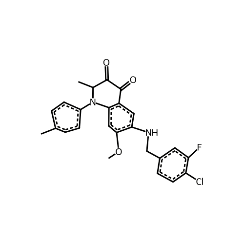 COc1cc2c(cc1NCc1ccc(Cl)c(F)c1)C(=O)C(=O)C(C)N2c1ccc(C)cc1